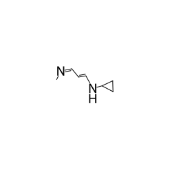 C/N=C\C=C\NC1CC1